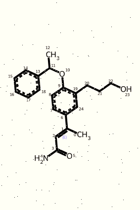 C/C(=C\C(N)=O)c1ccc(OC(C)c2ccccc2)c(CCCO)c1